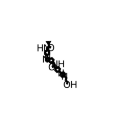 O=C(Nc1ccc2c(cnn2-c2ccc(NC(=O)C3CC3)cc2)c1)c1ccc(N2CCN(CCCO)CC2)cc1